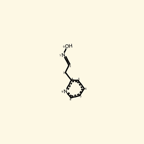 ON=C[CH]c1ccccn1